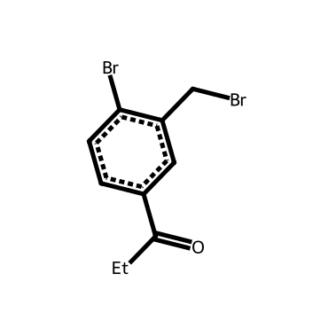 CCC(=O)c1ccc(Br)c(CBr)c1